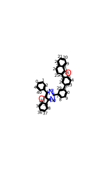 c1ccc(-c2nc(-c3cccc(-c4ccc5oc6c7ccccc7ccc6c5c4)c3)nc3c2oc2ccccc23)cc1